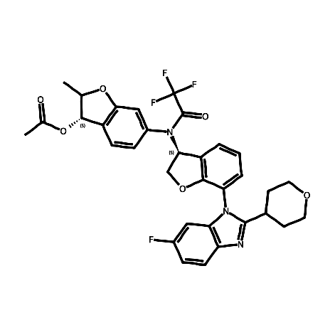 CC(=O)O[C@H]1c2ccc(N(C(=O)C(F)(F)F)[C@@H]3COc4c3cccc4-n3c(C4CCOCC4)nc4ccc(F)cc43)cc2OC1C